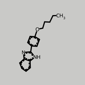 CCCCCOc1ccc(-c2nc3ccccc3[nH]2)cc1